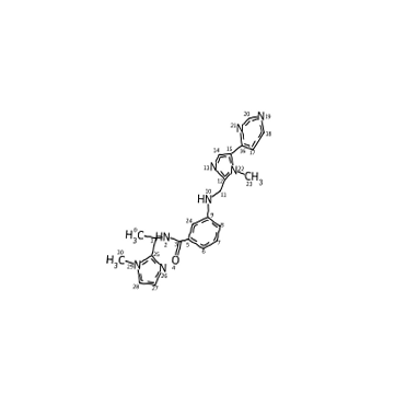 CC(NC(=O)c1cccc(NCc2ncc(-c3ccncn3)n2C)c1)c1nccn1C